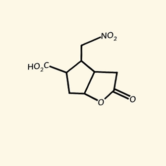 O=C1CC2C(CC(C(=O)O)C2C[N+](=O)[O-])O1